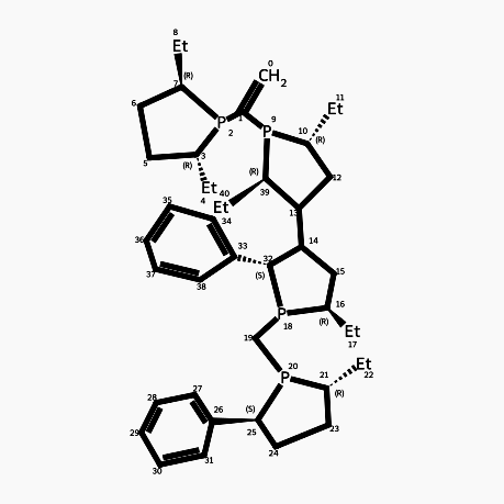 C=C(P1[C@H](CC)CC[C@H]1CC)P1[C@H](CC)CC(C2C[C@@H](CC)P(CP3[C@H](CC)CC[C@H]3c3ccccc3)[C@@H]2c2ccccc2)[C@H]1CC